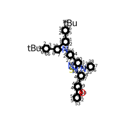 CC(C)(C)c1ccc(-c2ccc3c(c2)c2cc(-c4ccc(C(C)(C)C)cc4)ccc2n3-c2ccc(-c3ccc(N(c4ccccc4)c4ccc(-c5ccc6c(c5)oc5ccccc56)cc4)c4nsnc34)cc2)cc1